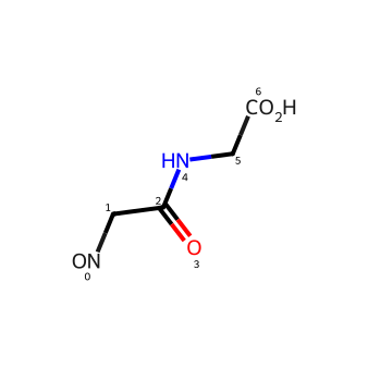 O=NCC(=O)NCC(=O)O